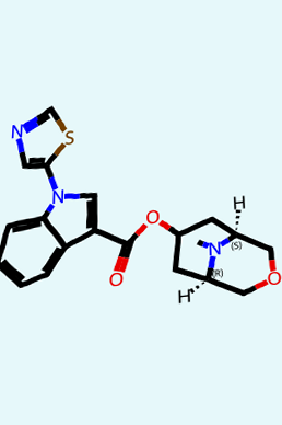 CN1[C@@H]2COC[C@H]1CC(OC(=O)c1cn(-c3cncs3)c3ccccc13)C2